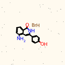 Br.Nc1cccc2c(=O)[nH]c(-c3ccc(O)cc3)cc12